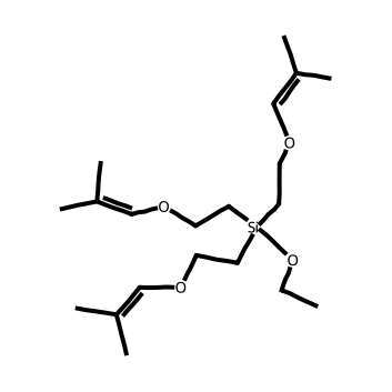 CCO[Si](CCOC=C(C)C)(CCOC=C(C)C)CCOC=C(C)C